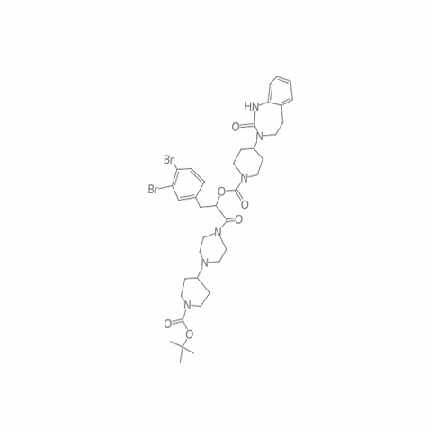 CC(C)(C)OC(=O)N1CCC(N2CCN(C(=O)C(Cc3ccc(Br)c(Br)c3)OC(=O)N3CCC(N4CCc5ccccc5NC4=O)CC3)CC2)CC1